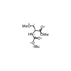 COC[C@H](NC(=O)OC(C)(C)C)C(=O)OC